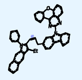 CCc1c(/C=C\Cc2ccc3c4ccccc4n(-c4nc5c6c(cccc6n4)Oc4ccccc4-5)c3c2)n(-c2ccccc2)c2cc3ccccc3cc12